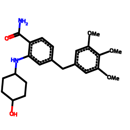 COc1cc(Cc2ccc(C(N)=O)c(NC3CCC(O)CC3)c2)cc(OC)c1OC